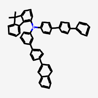 CC1(C)c2ccccc2-c2c(N(c3ccc(-c4ccc(-c5ccccc5)cc4)cc3)c3cccc(-c4ccc(-c5ccc6ccccc6c5)cc4)c3)cccc21